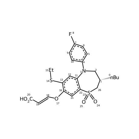 CCCC[C@H]1CN(c2ccc(F)cc2)c2cc(SCC)c(O/C=C/C(=O)O)cc2S(=O)(=O)C1